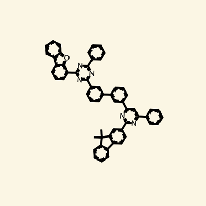 CC1(C)c2ccccc2-c2ccc(-c3nc(-c4ccccc4)cc(-c4cccc(-c5cccc(-c6nc(-c7ccccc7)nc(-c7cccc8c7oc7ccccc78)n6)c5)c4)n3)cc21